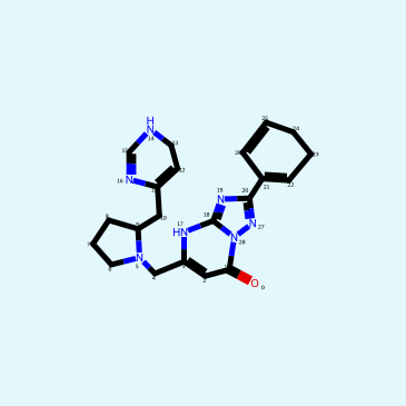 O=c1cc(CN2CCCC2CC2=CCNC=N2)[nH]c2nc(C3=CCCC=C3)nn12